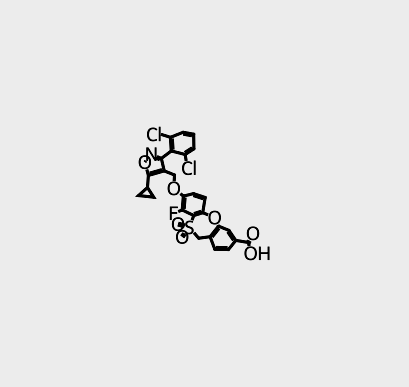 O=C(O)c1ccc2c(c1)Oc1ccc(OCc3c(-c4c(Cl)cccc4Cl)noc3C3CC3)c(F)c1S(=O)(=O)C2